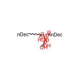 CCCCCCCCCCCCCCCCCC(=O)O[C@H](COC(=O)CCCCCCCCCCC)COP(=O)(O)OC[C@@H](O)CO